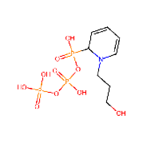 O=P(O)(O)OP(=O)(O)OP(=O)(O)C1C=CC=CN1CCCO